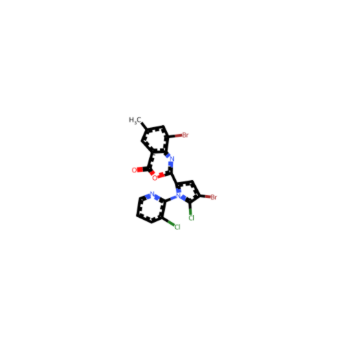 Cc1cc(Br)c2nc(-c3cc(Br)c(Cl)n3-c3ncccc3Cl)oc(=O)c2c1